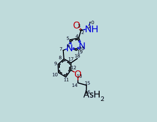 CNC(=O)c1cn(Cc2cccc(OCC[AsH2])c2C)cn1